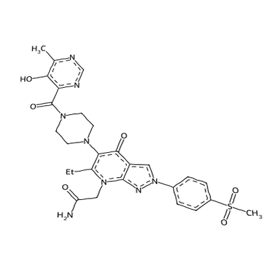 CCc1c(N2CCN(C(=O)c3ncnc(C)c3O)CC2)c(=O)c2cn(-c3ccc(S(C)(=O)=O)cc3)nc2n1CC(N)=O